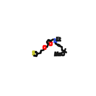 CCN(CC#CC=CC(C)(C)OC)Cc1ccc(COCC=Cc2ccsc2)o1